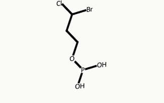 OP(O)OCCC(Cl)Br